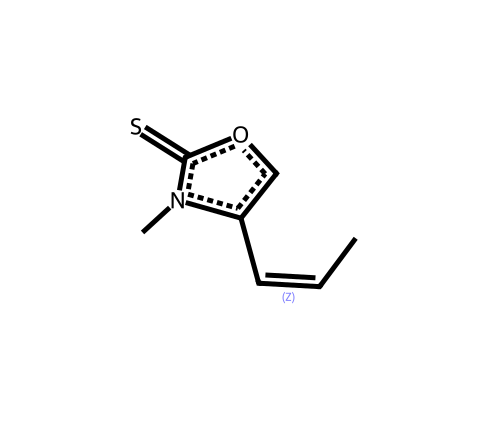 C/C=C\c1coc(=S)n1C